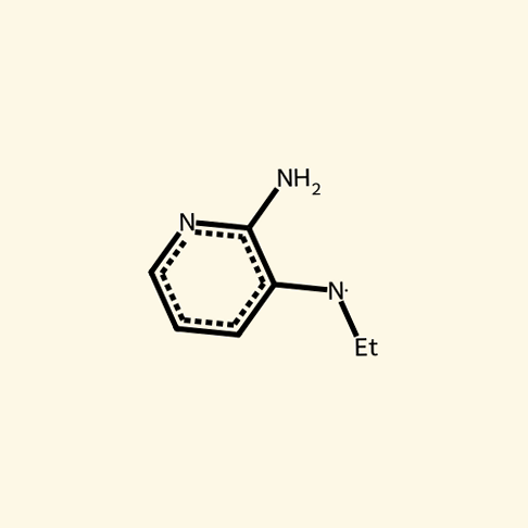 CC[N]c1cccnc1N